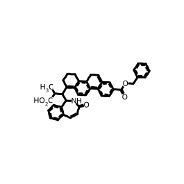 CC(C(=O)O)C(C1=c2ccc3c(c2CCC1)CC=c1cc(C(=O)OCc2ccccc2)ccc1=3)C1NC(=O)C=Cc2ccccc21